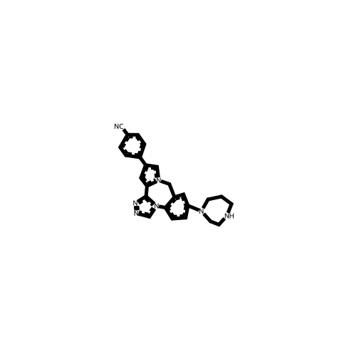 N#Cc1ccc(-c2cc3n(c2)Cc2cc(N4CCCNCC4)ccc2-n2cnnc2-3)cc1